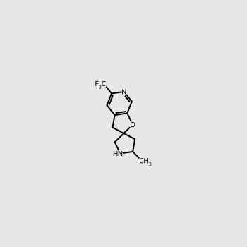 CC1CC2(CN1)Cc1cc(C(F)(F)F)ncc1O2